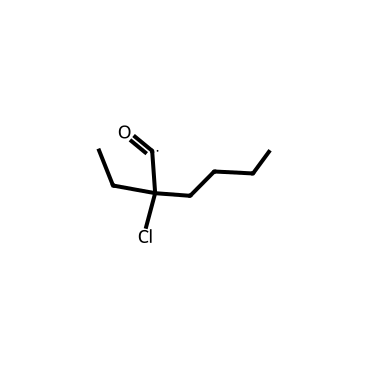 CCCCC(Cl)([C]=O)CC